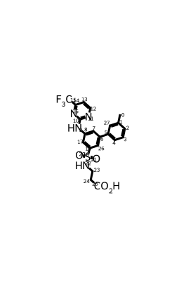 Cc1cccc(-c2cc(Nc3nccc(C(F)(F)F)n3)cc(S(=O)(=O)NCCC(=O)O)c2)c1